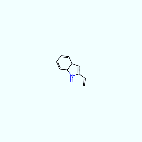 C=CC1=CC2C=CC=CC2N1